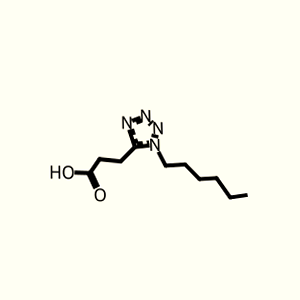 CCCCCCn1nnnc1CCC(=O)O